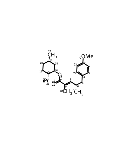 COc1ccc(C[C@H](C)/C=C(\C)C(=O)O[C@@H]2C[C@H](C)CC[C@H]2C(C)C)cc1